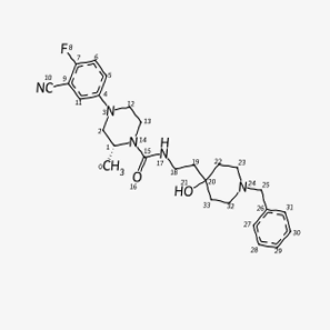 C[C@@H]1CN(c2ccc(F)c(C#N)c2)CCN1C(=O)NCCC1(O)CCN(Cc2ccccc2)CC1